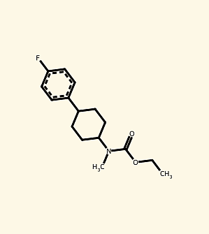 CCOC(=O)N(C)C1CCC(c2ccc(F)cc2)CC1